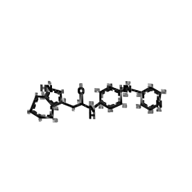 O=C(Cc1c[nH]c2ccccc12)Nc1ccc(Nc2ccncc2)cc1